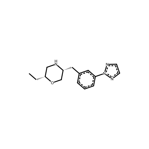 CC[C@@H]1CN[C@H](Cc2cccc(-n3nccn3)c2)CO1